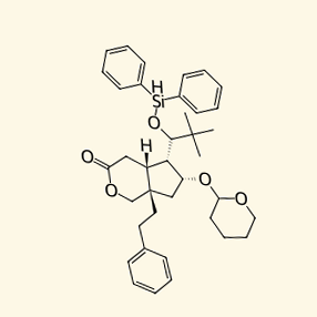 CC(C)(C)C(O[SiH](c1ccccc1)c1ccccc1)[C@H]1[C@H]2CC(=O)OC[C@@]2(CCc2ccccc2)C[C@H]1OC1CCCCO1